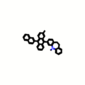 Cc1ccc2c(-c3ccc4ccccc4c3)c3ccccc3c(-c3ccc4c(c3)N(C)c3ccccc3CC4)c2c1